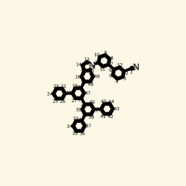 N#Cc1cccc(-c2cccc(-n3ccc4cc(-c5cc(-c6ccccc6)cc(-c6cc(-c7ccccc7)cc(-c7ccccc7)c6)c5)ccc43)c2)c1